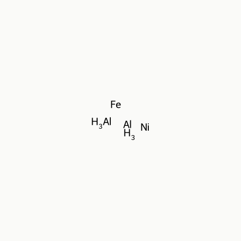 [AlH3].[AlH3].[Fe].[Ni]